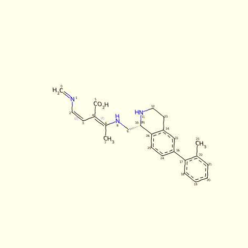 C=N/C=C\C(C(=O)O)=C(/C)NC[C@@H]1NCCc2cc(-c3ccccc3C)ccc21